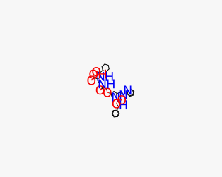 O=C(COC1CC(CNc2ccccn2)N(C(=O)OCc2ccccc2)C1)NCC(NC(=O)C1CCCCC1)C(=O)O